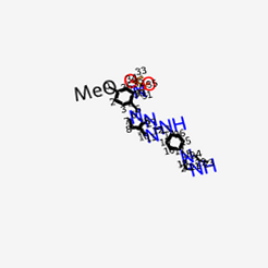 COc1ccc(Cn2ccc3cnc(Nc4ccc(N5CCNC(C)C5)cc4)nc32)c(N(C)S(C)(=O)=O)c1